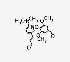 CN(C)c1ccc(/C=C/C=O)cc1.COc1cc(C=O)cc(OC)c1O